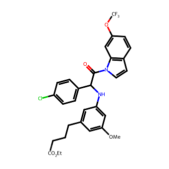 CCOC(=O)CCCc1cc(NC(C(=O)n2ccc3ccc(OC(F)(F)F)cc32)c2ccc(Cl)cc2)cc(OC)c1